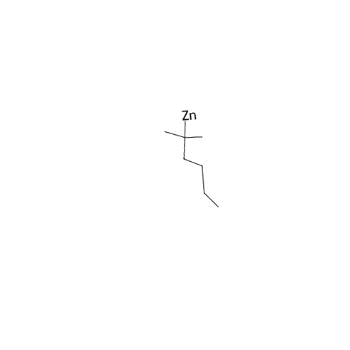 CCCC[C](C)(C)[Zn]